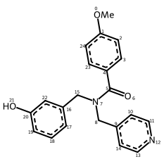 COc1ccc(C(=O)N(Cc2ccncc2)Cc2cccc(O)c2)cc1